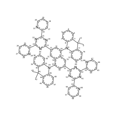 CC1(C)c2ccccc2N(c2cc(-c3nc(-c4ccccn4)nc(-c4ccccn4)n3)cc3c(N4c5ccccc5C(C)(C)c5ccccc54)cc(-c4nc(-c5ccccn5)nc(-c5ccccn5)n4)cc23)c2ccccc21